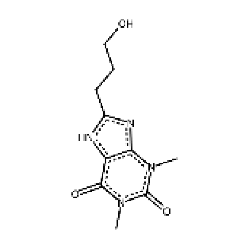 Cn1c(=O)c2[nH]c(CCCO)nc2n(C)c1=O